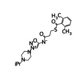 Cc1cccc(C)c1C(=O)SCCC(=O)[N-]c1c[n+](N2CCN(C(C)C)CC2)no1